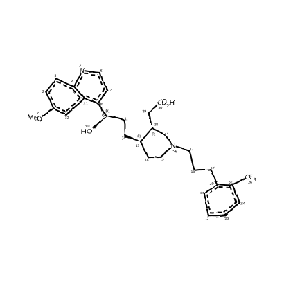 COc1ccc2nccc([C@H](O)CC[C@@H]3CCN(CCCc4ccccc4C(F)(F)F)C[C@@H]3CC(=O)O)c2c1